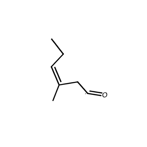 CCC=C(C)C[C]=O